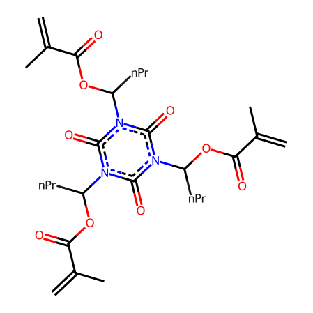 C=C(C)C(=O)OC(CCC)n1c(=O)n(C(CCC)OC(=O)C(=C)C)c(=O)n(C(CCC)OC(=O)C(=C)C)c1=O